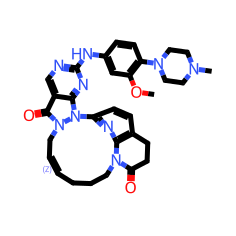 COc1cc(Nc2ncc3c(=O)n4n(c3n2)-c2ccc3c(n2)N(CCC/C=C\C4)C(=O)CC3)ccc1N1CCN(C)CC1